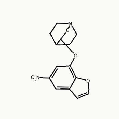 O=[N+]([O-])c1cc(OC2CN3CCC2CC3)c2occc2c1